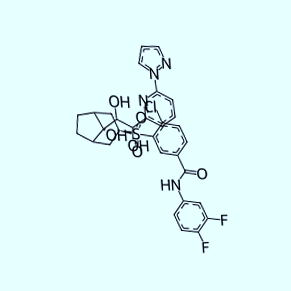 O=C(Nc1ccc(F)c(F)c1)c1ccc(Cl)c(S(=O)(=O)[C@H]2CC3CCC(C2)[C@]3(O)C(O)C(O)c2cccc(-n3cccn3)n2)c1